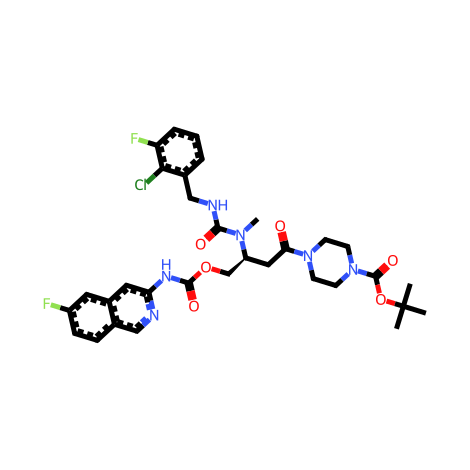 CN(C(=O)NCc1cccc(F)c1Cl)[C@H](COC(=O)Nc1cc2cc(F)ccc2cn1)CC(=O)N1CCN(C(=O)OC(C)(C)C)CC1